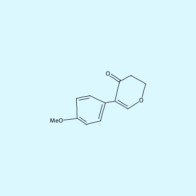 COc1ccc(C2=COCCC2=O)cc1